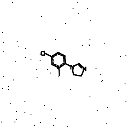 Cc1cc(Cl)ccc1N1C=NCC1